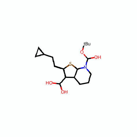 CC(C)(C)OC(O)N1CCCC2C(C(O)O)C(CCC3CC3)SC21